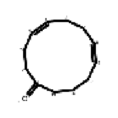 O=C1CCC=CCCC=CCCC1